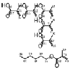 C=C(C)C(=O)O.C=C(C)C(=O)O.C=C(C)C(=O)O.C=C(C)C(=O)O.C=C(C)C(=O)O.C=C(C)C(=O)OCCCCCC